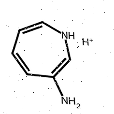 NC1=CNC=CC=C1.[H+]